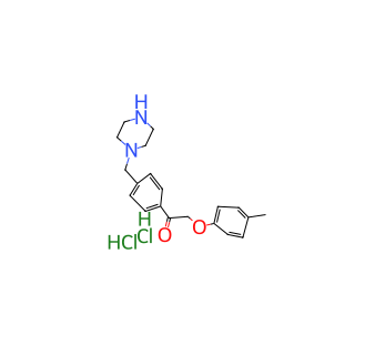 Cc1ccc(OCC(=O)c2ccc(CN3CCNCC3)cc2)cc1.Cl.Cl